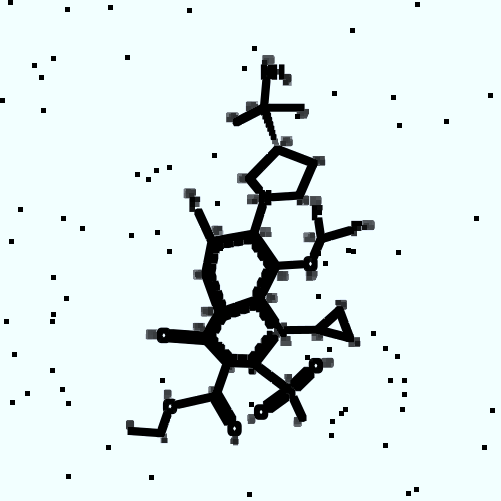 CCOC(=O)c1c(S(C)(=O)=O)n(C2CC2)c2c(OC(F)F)c(N3CC[C@@H](C(C)(C)N)C3)c(F)cc2c1=O